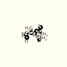 CCOC1(c2cccnc2)C=CC(N2CCN(C(=O)c3ccc(Cl)cc3C(F)(F)F)C[C@H]2CC)=C(C(=O)NC[C@H]2CCN2C)N1